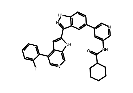 O=C(Nc1cncc(-c2ccc3[nH]nc(-c4cc5c(-c6ccccc6F)cncc5[nH]4)c3c2)c1)C1CCCCC1